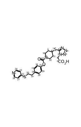 O=C(O)Cn1nnnc1SC1CCN(C(=O)Oc2ccc(CCSc3ccncc3)cc2)CC1